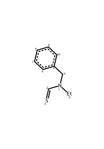 CCN([C]=S)Cc1ccccc1